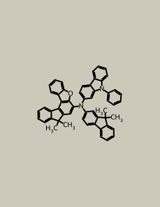 CC1(C)c2ccccc2-c2ccc(N(c3ccc4c5ccccc5n(-c5ccccc5)c4c3)c3cc4c(c5c3oc3ccccc35)-c3ccccc3C4(C)C)cc21